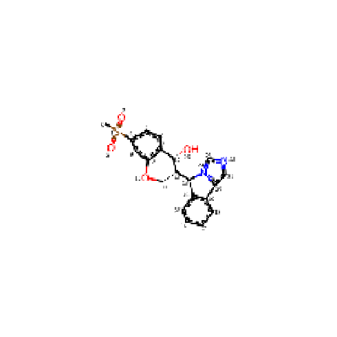 CS(=O)(=O)c1ccc2c(c1)OC[C@@H]([C@@H]1c3ccccc3-c3cncn31)[C@H]2O